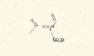 C=C(C)C(=O)O.C=CCC(=O)OCC